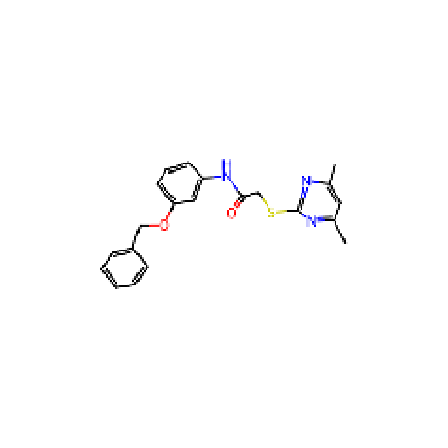 Cc1cc(C)nc(SCC(=O)Nc2cccc(OCc3ccccc3)c2)n1